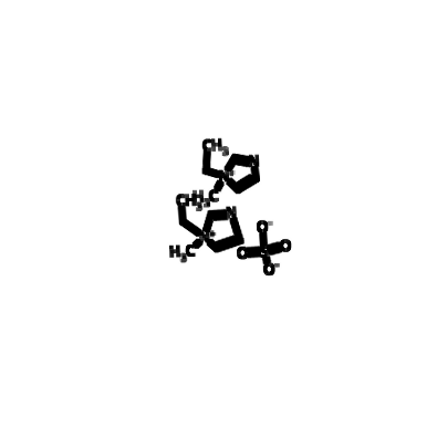 CC[N+]1(C)C=CN=C1.CC[N+]1(C)C=CN=C1.O=S(=O)([O-])[O-]